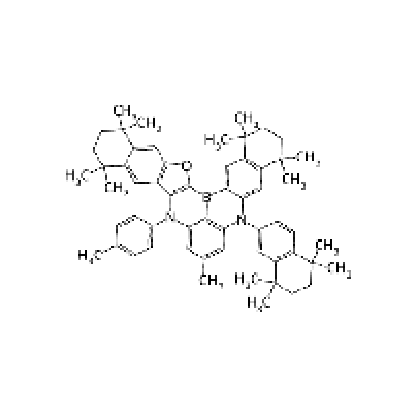 Cc1ccc(N2c3cc(C)cc4c3B(c3cc5c(cc3N4c3ccc4c(c3)C(C)(C)CCC4(C)C)C(C)(C)CCC5(C)C)c3oc4cc5c(cc4c32)C(C)(C)CCC5(C)C)cc1